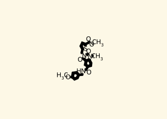 COC(=O)c1ccc(Cn2c(=O)c3cc(C(=O)NCc4ccc(OC)cc4)ccc3n(C)c2=O)s1